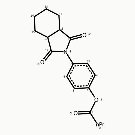 CCCC(=O)Oc1ccc(N2C(=O)C3CCCCC3C2=O)cc1